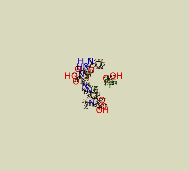 NC(C(=O)N[C@H]1C(=O)N2C(C(=O)O)=C(CN3CCN(c4cc5c(cc4F)c(=O)c(C(=O)O)cn5C4CC4)CC3)CS[C@@H]12)c1ccccc1.O=C(O)C(F)(F)F